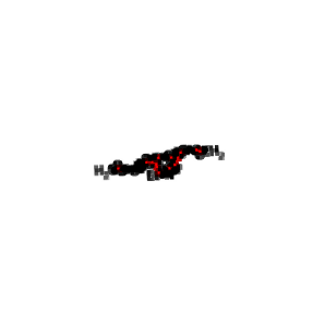 C=CC(=O)OCCCOc1ccc(C(=O)OCCc2ccc(OC(=O)c3ccc(OCCCOC(=O)C=C)cc3)c(/C=N/C(CC)Cc3nc4ccccc4s3)c2)cc1